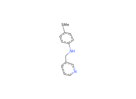 CSc1ccc(NCc2cccnc2)cc1